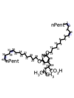 CCCCC/C=C\C/C=C\CCCCCCCCOc1cc(CC(CN(C)C)C(=O)O)cc(OCCCCCCCC/C=C\C/C=C\CCCCC)n1